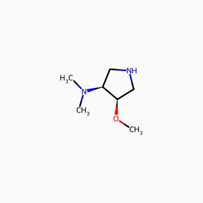 CO[C@@H]1CNC[C@@H]1N(C)C